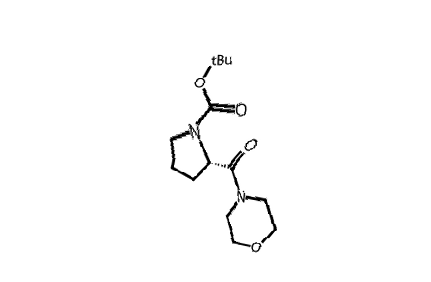 CC(C)(C)OC(=O)N1CCC[C@H]1C(=O)N1CCOCC1